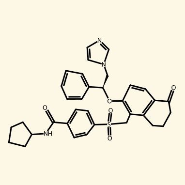 O=C(NC1CCCC1)c1ccc(S(=O)(=O)Cc2c(O[C@H](Cn3ccnc3)c3ccccc3)ccc3c2CCCC3=O)cc1